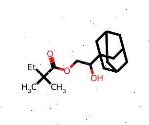 CCC(C)(C)C(=O)OCC(O)C12CC3CC(CC(C3)C1)C2